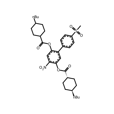 CCCCC1CCC(C(=O)Oc2cc([N+](=O)[O-])c(OC(=O)[C@H]3CC[C@H](CCCC)CC3)cc2-c2ccc(S(C)(=O)=O)cc2)CC1